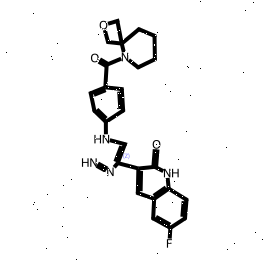 N=N/C(=C\Nc1ccc(C(=O)N2CCCCC23COC3)cc1)c1cc2cc(F)ccc2[nH]c1=O